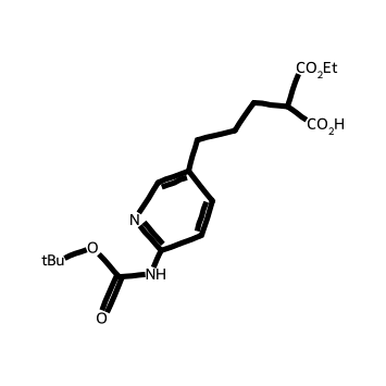 CCOC(=O)C(CCCc1ccc(NC(=O)OC(C)(C)C)nc1)C(=O)O